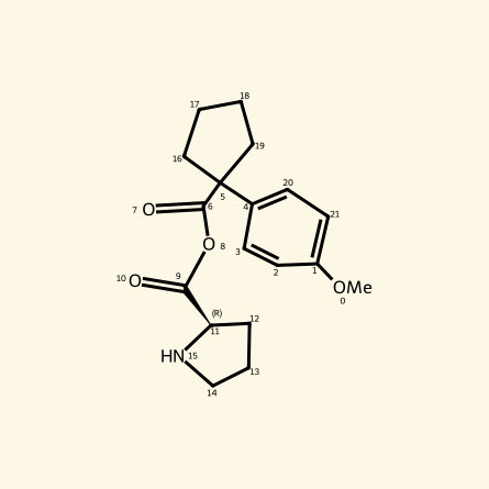 COc1ccc(C2(C(=O)OC(=O)[C@H]3CCCN3)CCCC2)cc1